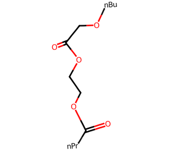 CCCCOCC(=O)OCCOC(=O)CCC